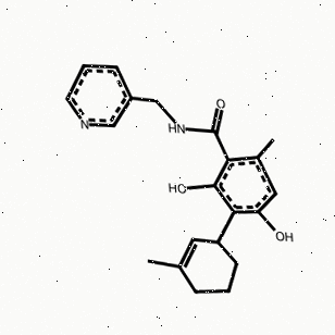 CC1=CC(c2c(O)cc(C)c(C(=O)NCc3cccnc3)c2O)CCC1